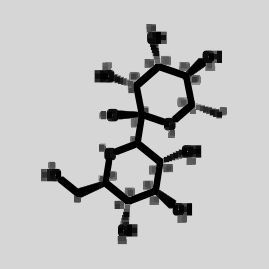 C[C@@H]1O[C@]([O])(C2O[C@H](CO)[C@@H](O)[C@H](O)[C@H]2O)[C@H](O)[C@H](O)[C@H]1O